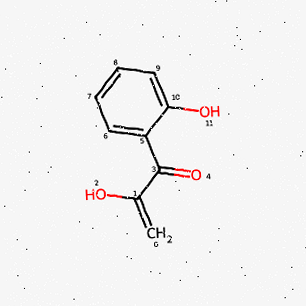 C=C(O)C(=O)c1cc[c]cc1O